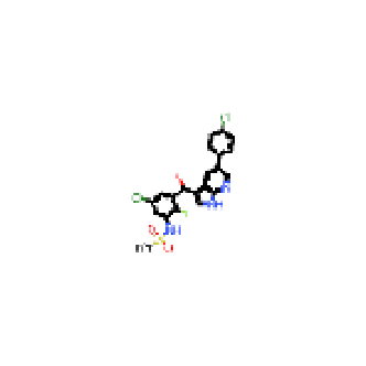 CCCS(=O)(=O)Nc1cc(Cl)cc(C(=O)c2c[nH]c3ncc(-c4ccc(Cl)cc4)cc23)c1F